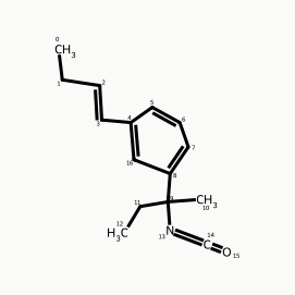 CCC=Cc1cccc(C(C)(CC)N=C=O)c1